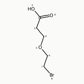 O=C(O)CCOCCBr